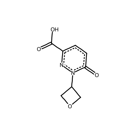 O=C(O)c1ccc(=O)n(C2COC2)n1